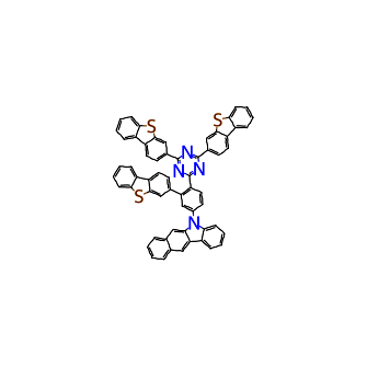 c1ccc2cc3c(cc2c1)c1ccccc1n3-c1ccc(-c2nc(-c3ccc4c(c3)sc3ccccc34)nc(-c3ccc4c(c3)sc3ccccc34)n2)c(-c2ccc3c(c2)sc2ccccc23)c1